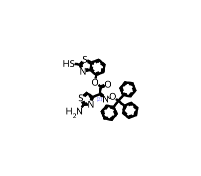 Nc1nc(/C(=N/OC(c2ccccc2)(c2ccccc2)c2ccccc2)C(=O)Oc2cccc3sc(S)nc23)cs1